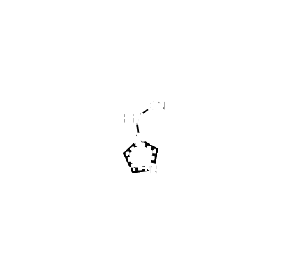 N#CBn1ccnc1